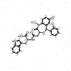 CN1C(=O)C(CC(=O)N[C@@H](Cc2c[nH]c3ccccc23)C(=O)O)OC(c2ccccc2Cl)c2cc(Cl)ccc21